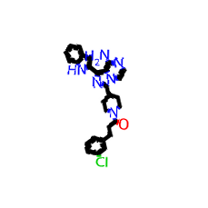 Nc1nccn2c(C3CCN(C(=O)CCc4cccc(Cl)c4)CC3)nc(-c3cc4ccccc4[nH]3)c12